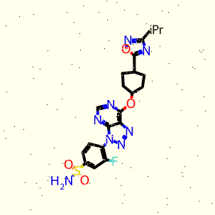 CC(C)c1noc(C2CCC(Oc3ncnc4c3nnn4-c3ccc(S(N)(=O)=O)cc3F)CC2)n1